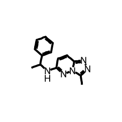 Cc1nnc2ccc(NC(C)c3ccccc3)nn12